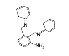 Nc1cccc(CN=C2C=CC=CC2)c1CN=C1C=CC=CC1